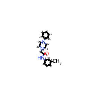 Cc1cccc(NC(=O)CN2CCN(c3ccccc3)CC2)c1